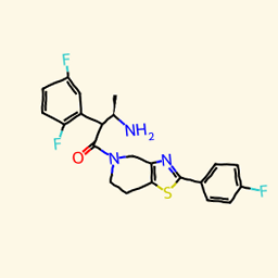 C[C@@H](N)C(C(=O)N1CCc2sc(-c3ccc(F)cc3)nc2C1)c1cc(F)ccc1F